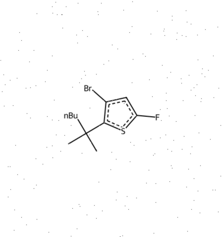 CCCCC(C)(C)c1sc(F)cc1Br